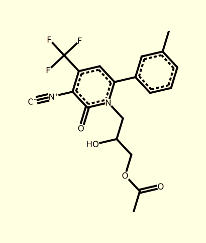 [C-]#[N+]c1c(C(F)(F)F)cc(-c2cccc(C)c2)n(CC(O)COC(C)=O)c1=O